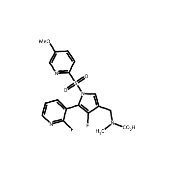 COc1ccc(S(=O)(=O)n2cc(CN(C)C(=O)O)c(F)c2-c2cccnc2F)nc1